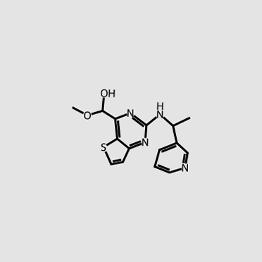 COC(O)c1nc(NC(C)c2cccnc2)nc2ccsc12